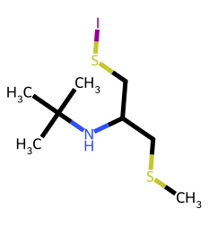 CSCC(CSI)NC(C)(C)C